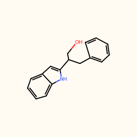 OCC(Cc1ccccc1)c1cc2ccccc2[nH]1